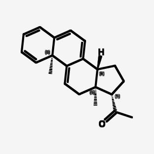 CC(=O)[C@H]1CC[C@H]2C3=CC=C4C=CC=C[C@]4(C)C3=CC[C@]12C